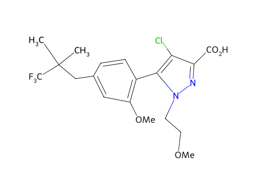 COCCn1nc(C(=O)O)c(Cl)c1-c1ccc(CC(C)(C)C(F)(F)F)cc1OC